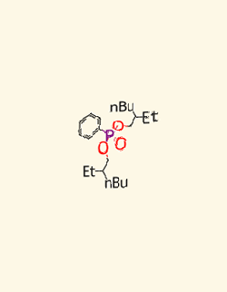 CCCCC(CC)COP(=O)(OCC(CC)CCCC)c1ccccc1